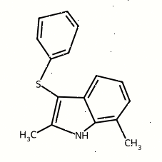 Cc1[nH]c2c(C)cccc2c1Sc1ccccc1